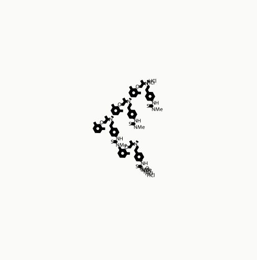 CNC(=S)Nc1ccc(CCN(C)C(C)COc2c(C)cccc2C)cc1.CNC(=S)Nc1ccc(CCN(C)C(C)COc2c(C)cccc2C)cc1.CNC(=S)Nc1ccc(CCN(C)C(C)COc2c(C)cccc2C)cc1.CNC(=S)Nc1ccc(CCN(C)C(C)COc2c(C)cccc2C)cc1.Cl.Cl.Cl.Cl.Cl.Cl.O